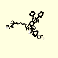 CC(C)OC(=O)CCCCCOc1cc2c(cc1NS(=O)(=O)c1ccc(C(F)(F)F)cc1)nc(-c1ccccc1)n2-c1ccccc1